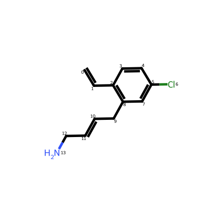 C=Cc1ccc(Cl)cc1CC=CCN